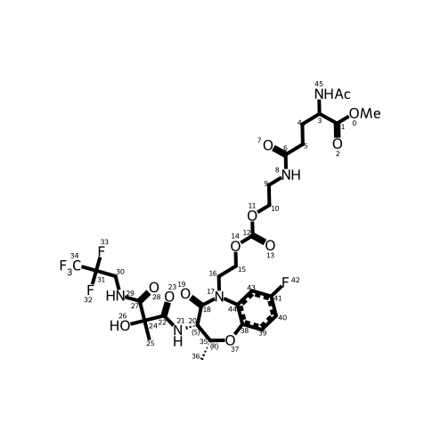 COC(=O)C(CCC(=O)NCCOC(=O)OCCN1C(=O)[C@@H](NC(=O)C(C)(O)C(=O)NCC(F)(F)C(F)(F)F)[C@@H](C)Oc2ccc(F)cc21)NC(C)=O